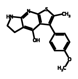 COc1ccc(-c2c(C)sc3nc4c(c(O)c23)CCN4)cc1